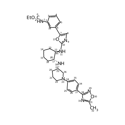 CCOC(=O)Nc1cccc(-c2cnc(N[C@@H]3CCCC[C@H]3N[C@H]3CCCN(c4ccc(-c5noc(C)n5)cc4)C3)o2)c1